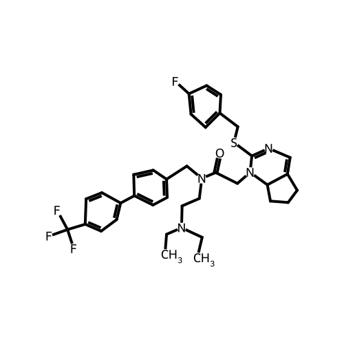 CCN(CC)CCN(Cc1ccc(-c2ccc(C(F)(F)F)cc2)cc1)C(=O)CN1C(SCc2ccc(F)cc2)=NC=C2CCCC21